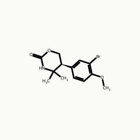 COc1ccc([C@@H]2COC(=O)NC2(C)C)cc1Br